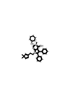 CC1(C)C=CC(CCn2c(-c3ccccc3)c(-c3ccccc3)c3c(=N)n(C[C@H]4CCCC[C@@H]4O)cnc32)=C1